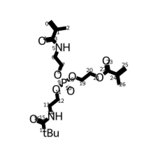 C=C(C)C(=O)NCCOP(=O)(OCCNC(=O)C(C)(C)C)OCCOC(=O)C(=C)C